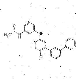 CC(=O)Nc1cncc(Nc2ncc(Cl)c(-c3cccc(-c4ccccc4)c3)n2)c1